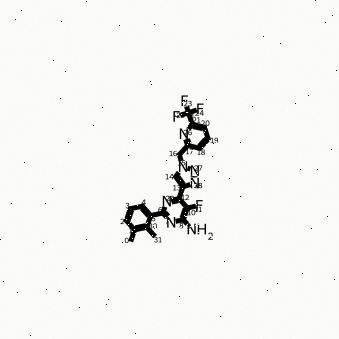 Cc1cccc(-c2nc(N)c(F)c(-c3cn(Cc4cccc(C(F)(F)F)n4)nn3)n2)c1C